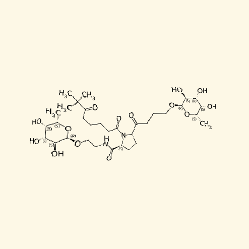 C[C@@H]1O[C@@H](OCCCC(=O)C2CC[C@@H](C(=O)NCCO[C@@H]3O[C@@H](C)[C@@H](O)[C@@H](O)[C@@H]3O)N2C(=O)CCCCC(=O)C(C)(C)C)[C@@H](O)[C@H](O)[C@@H]1O